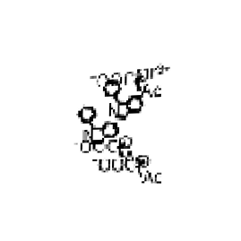 CC(=O)CC(=O)C(=O)[O-].CC(=O)CC(=O)C(=O)[O-].CC(=O)CC(=O)C(=O)[O-].[Ir+3].c1ccc(-c2nccc3ccccc23)cc1.c1ccc(-c2nccc3ccccc23)cc1